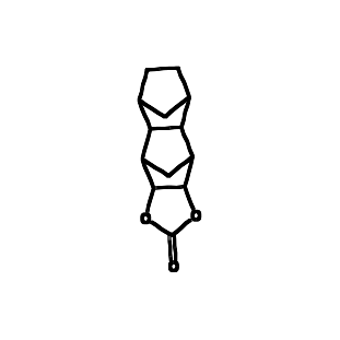 O=C1OC2C3CC(C2O1)C1C2CCC(C2)C31